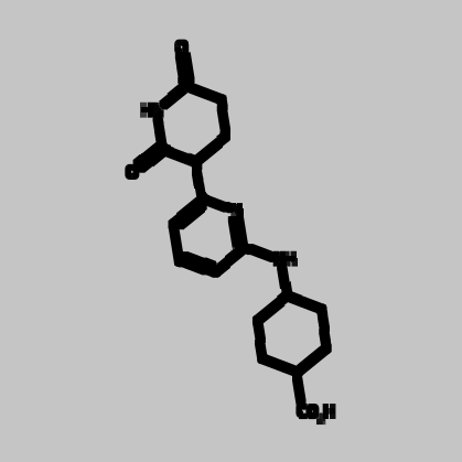 O=C1CCC(c2cccc(NC3CCC(C(=O)O)CC3)n2)C(=O)N1